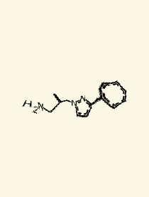 CC(CN)n1ccc(-c2ccccc2)n1